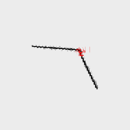 CCCCCCCCCCCCCCCCCCCCCCCCCCCCCCC(O)OC(=O)CCCCCCCCCCCCCCCCCCCCCCCCC